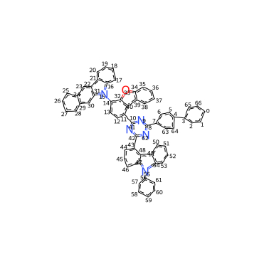 c1ccc(-c2ccc(-c3nc(-c4ccc(-n5c6ccccc6c6cc7ccccc7cc65)c5oc6ccccc6c45)nc(-c4cccc5c4c4ccccc4n5-c4ccccc4)n3)cc2)cc1